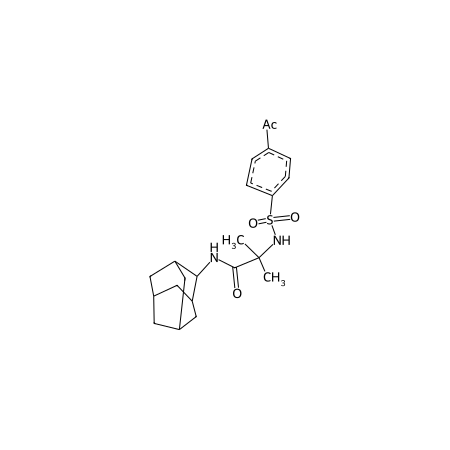 CC(=O)c1ccc(S(=O)(=O)NC(C)(C)C(=O)NC2C3CC4CC(C3)CC2C4)cc1